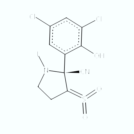 N#C[C@@]1(c2cc(Cl)cc(Cl)c2O)C(=S(=O)=O)CCN1I